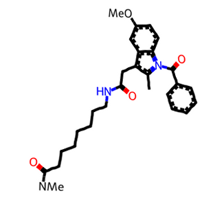 CNC(=O)CCCCCCCNC(=O)Cc1c(C)n(C(=O)c2ccccc2)c2ccc(OC)cc12